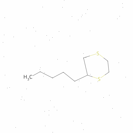 CCCCCC1CSCCS1